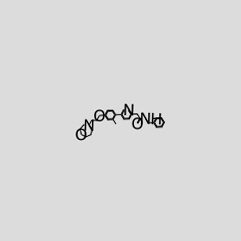 Cc1cc(OCCN2CCCOCC2)ccc1-c1ccc(CC(=O)NCc2ccccc2)nc1